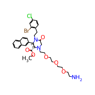 COC(=O)[C@@H]1[C@@H](c2ccc3ccccc3c2)N(CCc2ccc(Cl)cc2Br)C(=O)CN1CCOCCOCCOCCN